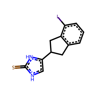 S=c1[nH]cc(C2Cc3cccc(I)c3C2)[nH]1